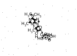 Cc1nc(N(C)C)c2ncn([C@@H]3O[C@H](COP(=O)(O)OP(=O)(O)O)[C@@H](O)[C@@]3(C)F)c2n1